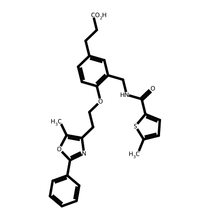 Cc1ccc(C(=O)NCc2cc(CCC(=O)O)ccc2OCCc2nc(-c3ccccc3)oc2C)s1